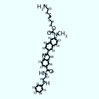 CN(C(=O)OCCSSCCN)c1ccc2cc(C3=Nc4ccc(C(=O)NCCPc5ccccc5)cc4C3)ccc2c1